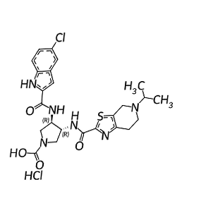 CC(C)N1CCc2nc(C(=O)N[C@@H]3CN(C(=O)O)C[C@H]3NC(=O)c3cc4cc(Cl)ccc4[nH]3)sc2C1.Cl